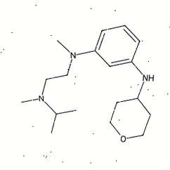 CC(C)N(C)CCN(C)c1cc[c]c(NC2CCOCC2)c1